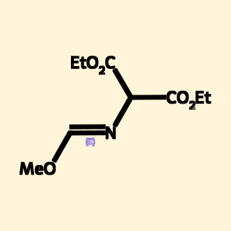 CCOC(=O)C(/N=C/OC)C(=O)OCC